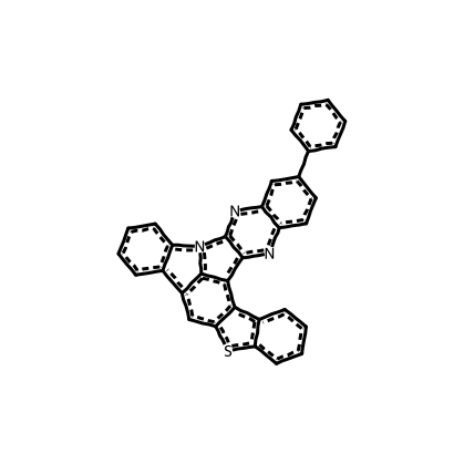 c1ccc(-c2ccc3nc4c5c6c(cc7c8ccccc8n(c4nc3c2)c75)sc2ccccc26)cc1